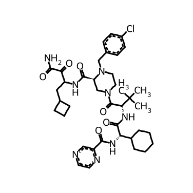 CC(C)(C)[C@H](NC(=O)[C@@H](NC(=O)c1cnccn1)C1CCCCC1)C(=O)N1CCN(Cc2ccc(Cl)cc2)[C@H](C(=O)NC(CC2CCC2)C(=O)C(N)=O)C1